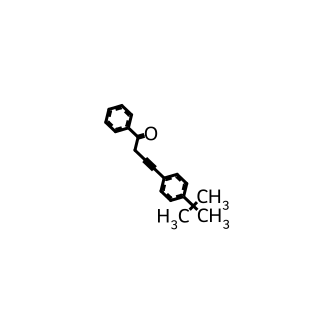 CC(C)(C)c1ccc(C#CCC(=O)c2ccccc2)cc1